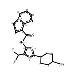 CC(C)C1CCC(c2nc(C(F)F)c(NC(=O)c3ccn4cccnc34)s2)CC1